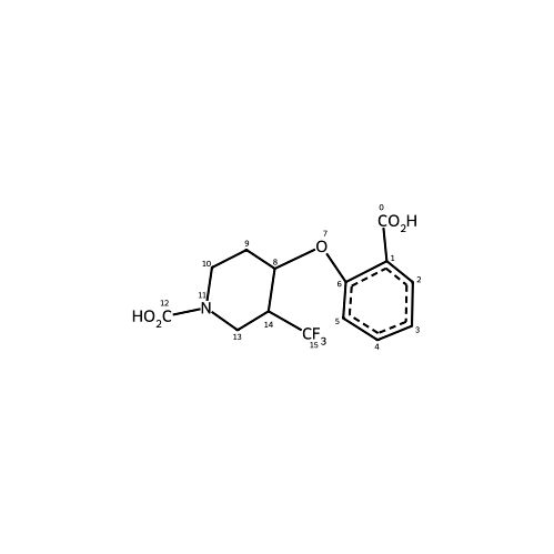 O=C(O)c1ccccc1OC1CCN(C(=O)O)CC1C(F)(F)F